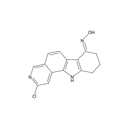 O/N=C1\CCCc2[nH]c3c(ccc4cnc(Cl)cc43)c21